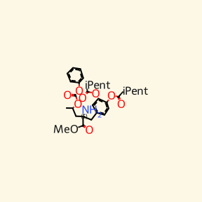 CCCC(C)C(=O)Oc1ccc(C[C@](N)(CC(C)OC(=O)Oc2ccccc2)C(=O)OC)cc1OC(=O)C(C)CCC